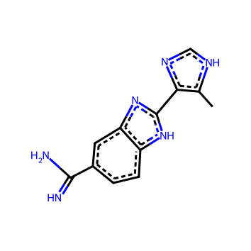 Cc1[nH]cnc1-c1nc2cc(C(=N)N)ccc2[nH]1